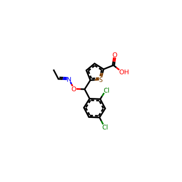 CC=NOC(c1ccc(C(=O)O)s1)c1ccc(Cl)cc1Cl